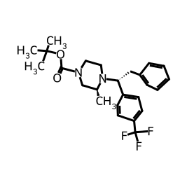 C[C@H]1CN(C(=O)OC(C)(C)C)CCN1[C@H](Cc1ccccc1)c1ccc(C(F)(F)F)cc1